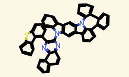 c1ccc2c(c1)-c1ccccc1-n1c3cc4c5ccccc5n(-c5nc6ccc7ccccc7c6nc5-c5cccc6sc7ccccc7c56)c4cc3c3cccc-2c31